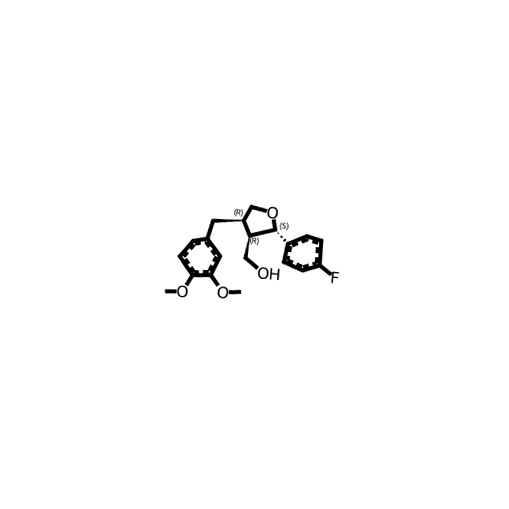 COc1ccc(C[C@H]2CO[C@H](c3ccc(F)cc3)[C@H]2CO)cc1OC